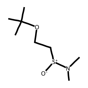 CN(C)[S+]([O-])CCOC(C)(C)C